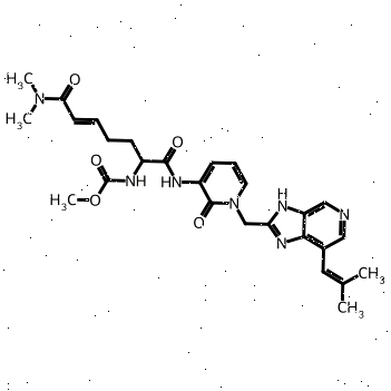 COC(=O)NC(CCC=CC(=O)N(C)C)C(=O)Nc1cccn(Cc2nc3c(C=C(C)C)cncc3[nH]2)c1=O